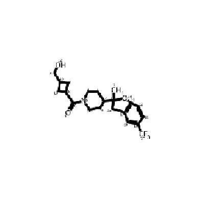 CC1(C2CCN(C(=O)C3CC(CO)C3)CC2)Cc2cc(C(F)(F)F)ccc2O1